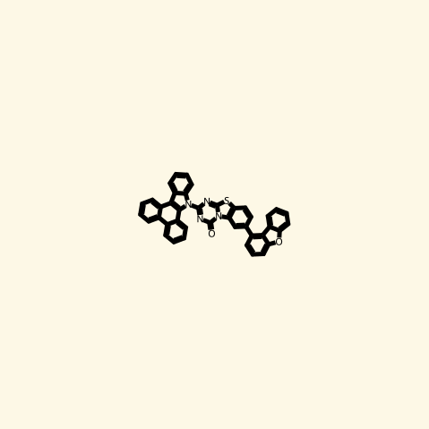 O=c1nc(-n2c3ccccc3c3c4ccccc4c4ccccc4c32)nc2sc3ccc(-c4cccc5oc6ccccc6c45)cc3n12